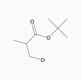 CC(C[O])C(=O)OC(C)(C)C